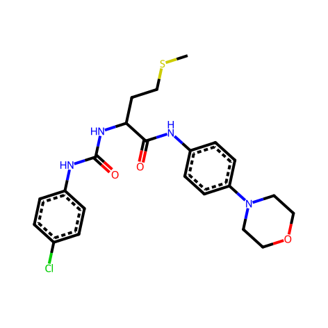 CSCCC(NC(=O)Nc1ccc(Cl)cc1)C(=O)Nc1ccc(N2CCOCC2)cc1